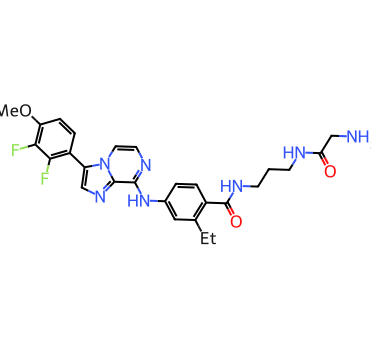 CCc1cc(Nc2nccn3c(-c4ccc(OC)c(F)c4F)cnc23)ccc1C(=O)NCCCNC(=O)CN